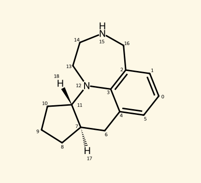 c1cc2c3c(c1)C[C@H]1CCC[C@@H]1N3CCNC2